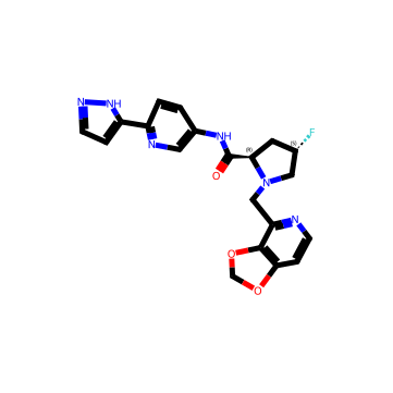 O=C(Nc1ccc(-c2ccn[nH]2)nc1)[C@H]1C[C@H](F)CN1Cc1nccc2c1OCO2